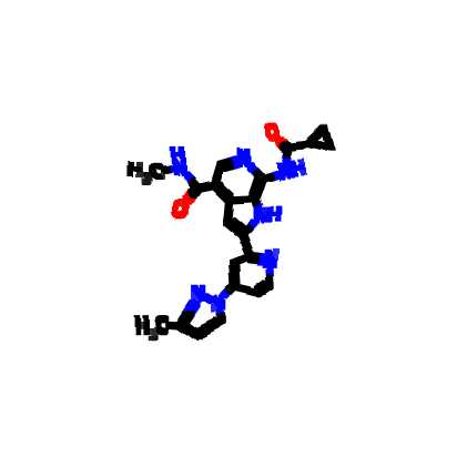 CNC(=O)c1cnc(NC(=O)C2CC2)c2[nH]c(-c3cc(-n4ccc(C)n4)ccn3)cc12